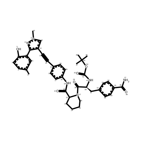 Cc1ccc(O)c(-c2nn(C)cc2C#Cc2ccc(NC(=O)C3CCCCN3C(=O)[C@H](Cc3ccc(C(N)=O)cc3)NC(=O)OC(C)(C)C)cc2)c1